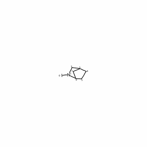 IN1CC2CCC1C2